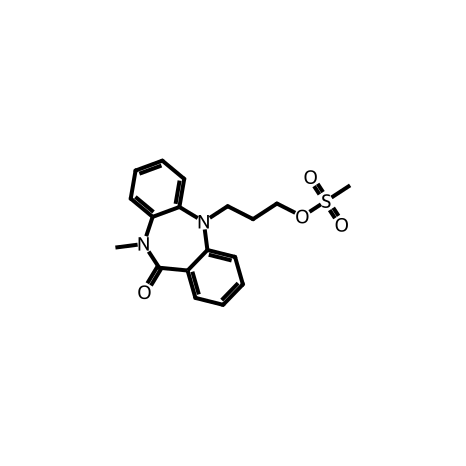 CN1C(=O)c2ccccc2N(CCCOS(C)(=O)=O)c2ccccc21